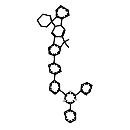 CC1(C)C2=CC3c4ccccc4C4(CCCCC4)C3C=C2c2ccc(-c3ccc(-c4cccc(-c5nc(-c6ccccc6)nc(-c6ccccc6)n5)c4)cc3)cc21